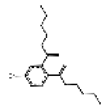 C=C(CCCCC)c1ccc(Br)cc1C(=C)CCCCC